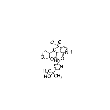 CC(C)(O)c1cnc(NC(=O)C(CC2CCOCC2)c2c(S(=O)(=O)C3CC3)cc[nH]c2=O)s1